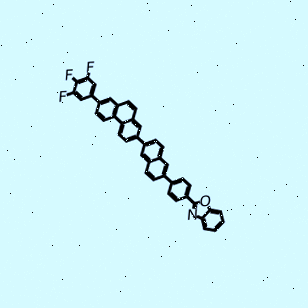 Fc1cc(-c2ccc3c(ccc4cc(-c5ccc6cc(-c7ccc(-c8nc9ccccc9o8)cc7)ccc6c5)ccc43)c2)cc(F)c1F